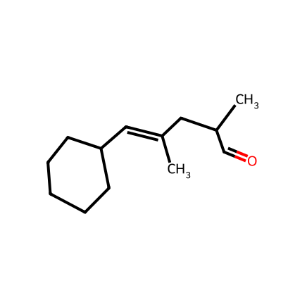 C/C(=C\C1CCCCC1)CC(C)C=O